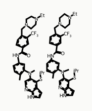 CCN1CCN(Cc2ccc(C(=O)Nc3ccc(C)c(N(C)c4cnc5[nH]ccc5c4SC(C)C)c3)cc2C(F)(F)F)CC1.CCN1CCN(Cc2ccc(C(=O)Nc3ccc(C)c(N(C)c4cnc5[nH]ccc5c4SC(C)C)c3)cc2C(F)(F)F)CC1